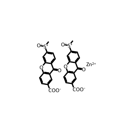 C[S+]([O-])c1ccc2c(=O)c3cc(C(=O)[O-])ccc3oc2c1.C[S+]([O-])c1ccc2c(=O)c3cc(C(=O)[O-])ccc3oc2c1.[Zn+2]